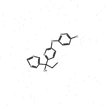 CCC(O)(c1cncnc1)c1ccc(Oc2ccc(Cl)cn2)cn1